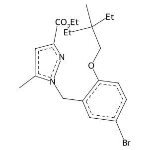 CCOC(=O)c1cc(C)n(Cc2cc(Br)ccc2OCC(C)(CC)CC)n1